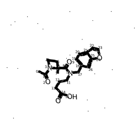 CC(=O)N1CCC1(C)C(=O)N(CCCC(=O)O)Cc1ccc2ccoc2c1